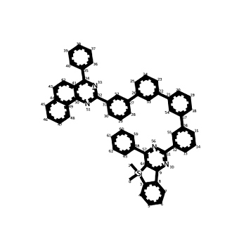 C[Si]1(C)c2ccccc2-c2nc(-c3cccc(-c4cccc(-c5cccc(-c6cccc(-c7nc(-c8ccccc8)c8ccc9ccccc9c8n7)c6)c5)c4)c3)nc(-c3ccccc3)c21